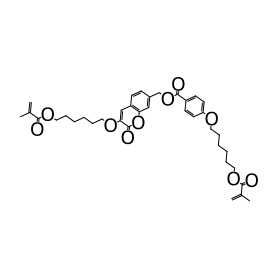 C=C(C)C(=O)OCCCCCCOc1ccc(C(=O)OCc2ccc3cc(OCCCCCCOC(=O)C(=C)C)c(=O)oc3c2)cc1